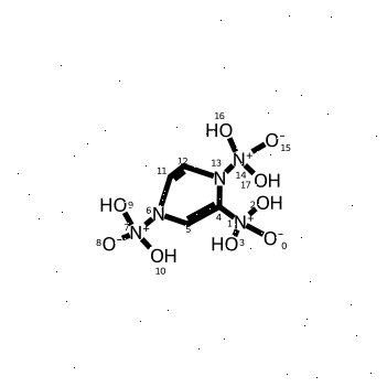 [O-][N+](O)(O)C1=CN([N+]([O-])(O)O)C=CN1[N+]([O-])(O)O